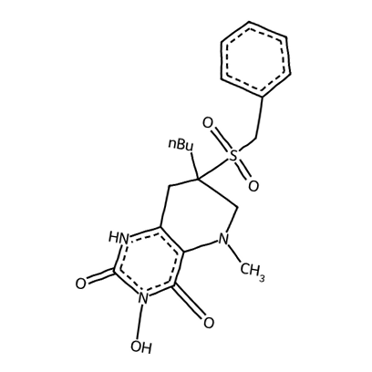 CCCCC1(S(=O)(=O)Cc2ccccc2)Cc2[nH]c(=O)n(O)c(=O)c2N(C)C1